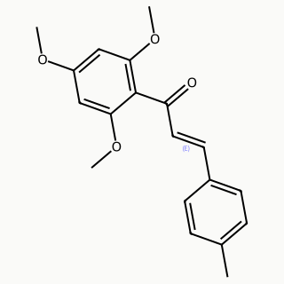 COc1cc(OC)c(C(=O)/C=C/c2ccc(C)cc2)c(OC)c1